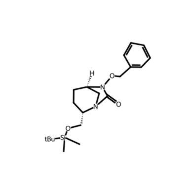 CC(C)(C)[Si](C)(C)OC[C@@H]1CC[C@@H]2CN1C(=O)N2OCc1ccccc1